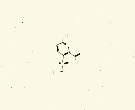 CCS(=O)(=O)c1ccc(O)nc1C(=O)O